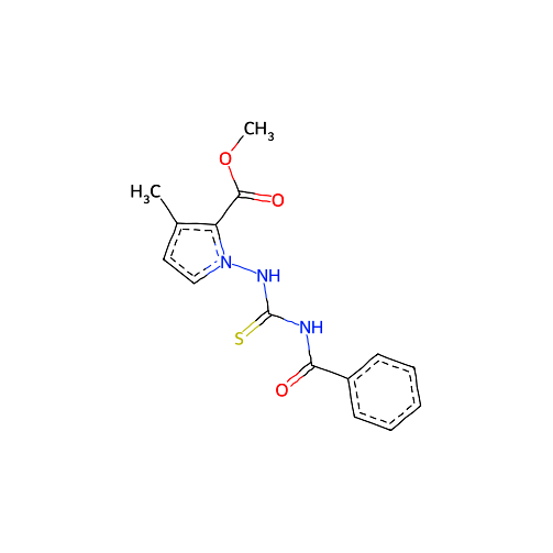 COC(=O)c1c(C)ccn1NC(=S)NC(=O)c1ccccc1